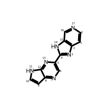 c1cc2nc(-c3cnc4cc[nH]c4n3)[nH]c2cn1